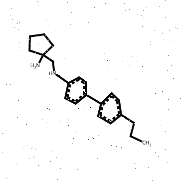 CCCc1ccc(-c2ccc(NCC3(N)CCCC3)cc2)cc1